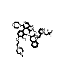 Cc1c(-c2c(N3CCOCC3)ncc3snc(OC(Cc4ccccc4OCc4ccnn4CC(F)(F)F)C(=O)O)c23)ccc(OCCN2CCN(C)CC2)c1Cl